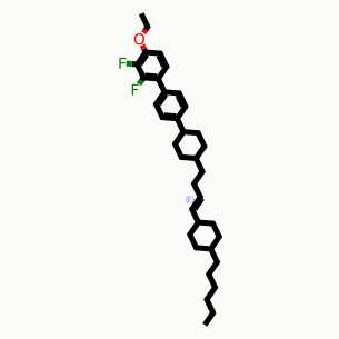 CCCCCCC1CCC(/C=C/CCC2CCC(c3ccc(-c4ccc(OCC)c(F)c4F)cc3)CC2)CC1